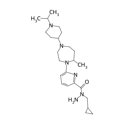 CC(C)N1CCC(N2CCC(C)N(c3cccc(C(=O)N(N)CC4CC4)n3)CC2)CC1